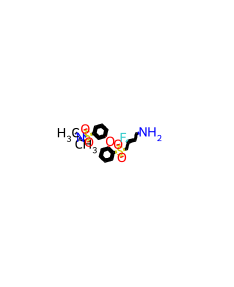 CN(C)S(=O)(=O)c1cccc(Oc2ccccc2S(=O)(=O)C/C(F)=C/CN)c1